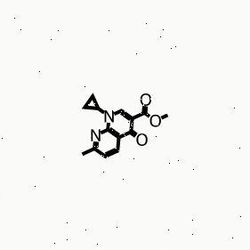 COC(=O)c1cn(C2CC2)c2nc(C)ccc2c1=O